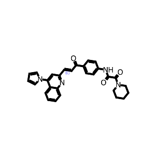 O=C(Nc1ccc(C(=O)/C=C/c2cc(-n3cccc3)c3ccccc3n2)cc1)C(=O)N1CCCCC1